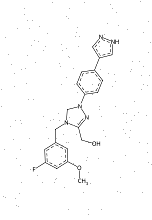 COc1cc(F)cc(CN2CN(c3ccc(-c4cn[nH]c4)cc3)N=C2CO)c1